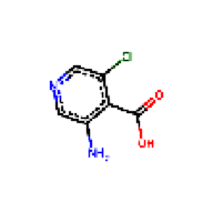 Nc1cncc(Cl)c1C(=O)O